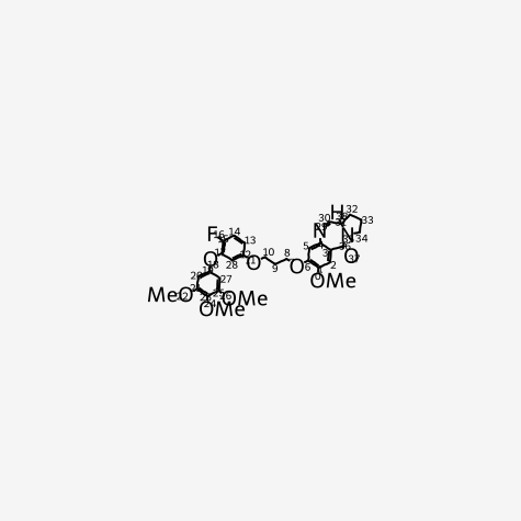 COc1cc2c(cc1OCCCOc1ccc(F)c(Oc3cc(OC)c(OC)c(OC)c3)c1)N=C[C@@H]1CCCN1C2=O